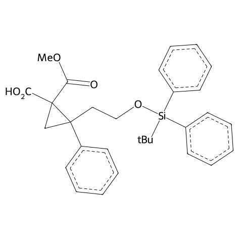 COC(=O)C1(C(=O)O)CC1(CCO[Si](c1ccccc1)(c1ccccc1)C(C)(C)C)c1ccccc1